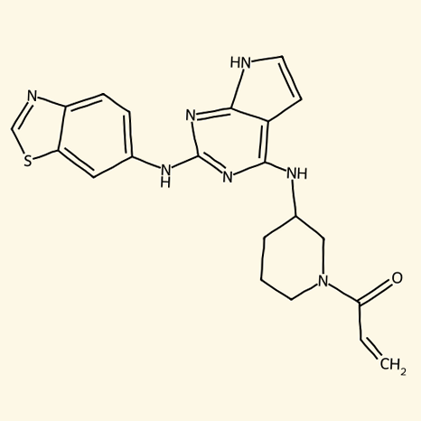 C=CC(=O)N1CCCC(Nc2nc(Nc3ccc4ncsc4c3)nc3[nH]ccc23)C1